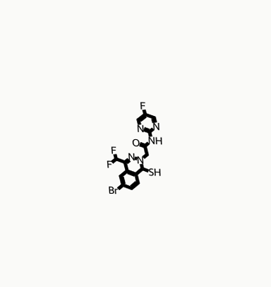 O=C(CN1N=C(C(F)F)c2cc(Br)ccc2C1S)Nc1ncc(F)cn1